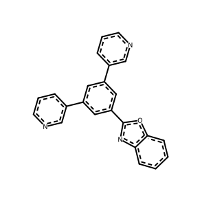 c1cncc(-c2cc(-c3cccnc3)cc(-c3nc4ccccc4o3)c2)c1